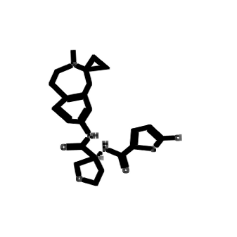 CN1CCc2ccc(NC(=O)[C@@]3(NC(=O)c4ccc(Cl)s4)CCOC3)cc2CC12CC2